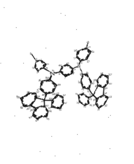 Cc1ccc(N(c2ccc(N(c3ccc(C)cc3)c3ccc(C4(c5ccccc5)c5ccccc5-c5ccccc54)cc3)cc2)c2ccc(C3(c4ccccc4)c4ccccc4-c4ccccc43)cc2)cc1